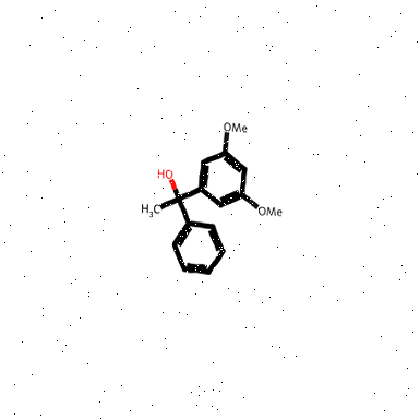 COc1cc(OC)cc(C(C)(O)c2ccccc2)c1